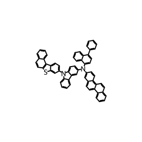 c1ccc(-c2ccc(N(c3ccc4c(ccc5c6ccccc6ccc45)c3)c3ccc4c(c3)c3ccccc3n4-c3ccc4c(c3)sc3ccc5ccccc5c34)c3ccccc23)cc1